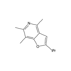 Cc1nc(C)c2cc(C(C)C)oc2c1C